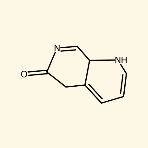 O=C1CC2=CC=CNC2C=N1